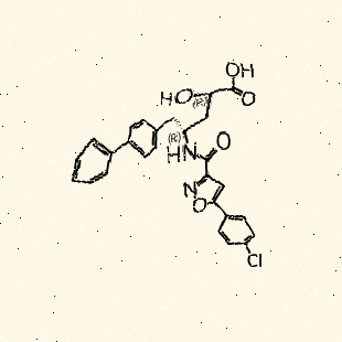 O=C(N[C@H](Cc1ccc(-c2ccccc2)cc1)C[C@@H](O)C(=O)O)c1cc(-c2ccc(Cl)cc2)on1